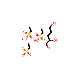 CCS(=O)(=O)O.CCS(=O)(=O)O.CCS(=O)(=O)O.OCCCC(O)CO